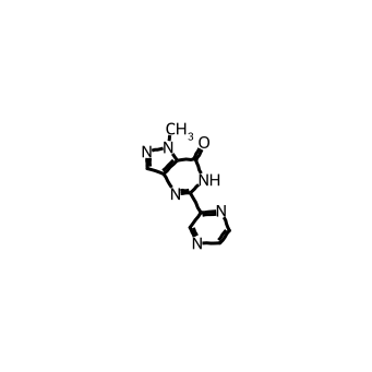 Cn1ncc2nc(-c3cnccn3)[nH]c(=O)c21